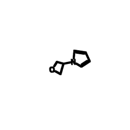 c1ccn(C2COC2)c1